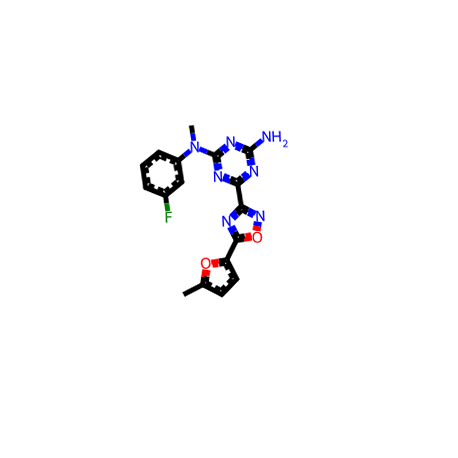 Cc1ccc(-c2nc(-c3nc(N)nc(N(C)c4cccc(F)c4)n3)no2)o1